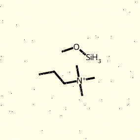 CCC[N+](C)(C)C.CO[SiH3]